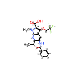 CCc1nc2c(cc1NC(=O)c1ccccc1)c(OCC(F)(F)F)c(C(=O)O)n2C